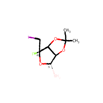 B[C@@H]1O[C@](F)(CI)C2OC(C)(C)OC21